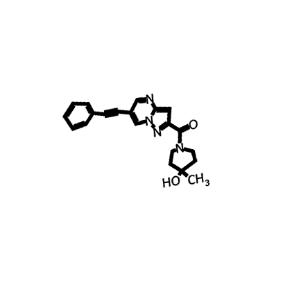 CC1(O)CCN(C(=O)c2cc3ncc(C#Cc4ccccc4)cn3n2)CC1